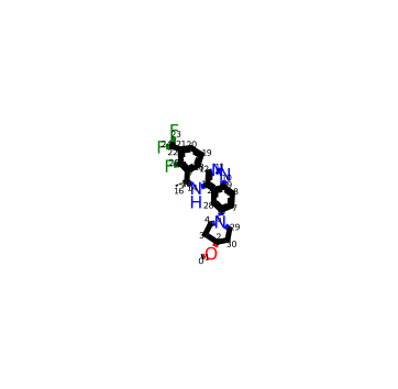 COC1CCN(c2ccc3nncc(N[C@H](C)c4cccc(C(F)F)c4F)c3c2)CC1